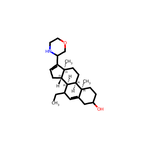 CCC1C=C2CC(O)CC[C@]2(C)[C@@H]2CC[C@]3(C)C(C4COCCN4)=CC[C@H]3[C@H]12